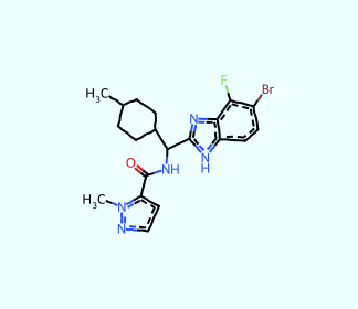 CC1CCC(C(NC(=O)c2ccnn2C)c2nc3c(F)c(Br)ccc3[nH]2)CC1